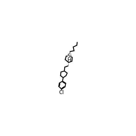 CCCCC[Si@H]1CC[C@H](CCC2CCC(c3ccc(Cl)cc3)CC2)CC1